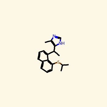 Cc1nc[nH]c1C(C)c1cccc2cccc(SC(C)C)c12